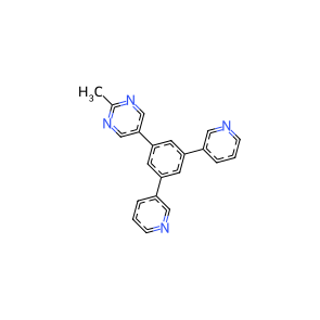 Cc1ncc(-c2cc(-c3cccnc3)cc(-c3cccnc3)c2)cn1